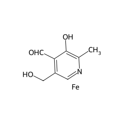 Cc1ncc(CO)c(C=O)c1O.[Fe]